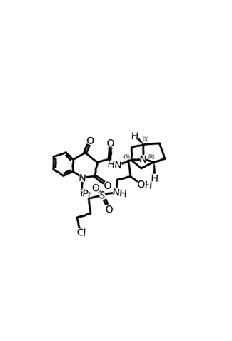 CC(C)N1C(=O)C(C(=O)N[C@@H]2C[C@H]3CC[C@@H](C2)N3CC(O)CNS(=O)(=O)CCCCl)C(=O)c2ccccc21